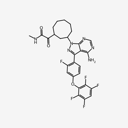 CNC(=O)C(=O)C1CCCCCC(n2nc(-c3ccc(Oc4c(F)c(F)cc(F)c4F)cc3F)c3c(N)ncnc32)C1